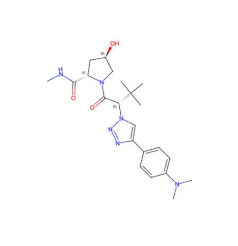 CNC(=O)[C@@H]1C[C@@H](O)CN1C(=O)[C@@H](n1cc(-c2ccc(N(C)C)cc2)nn1)C(C)(C)C